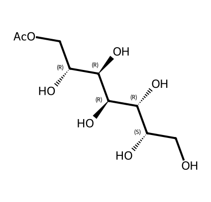 CC(=O)OC[C@@H](O)[C@@H](O)[C@H](O)[C@H](O)[C@@H](O)CO